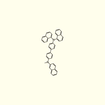 CN(c1ccc(-c2ccc(N(c3cccc4ccccc34)c3cccc4ccccc34)cc2)cc1)c1ccc2ccccc2c1